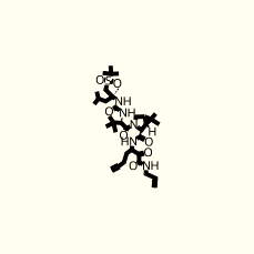 C#CCCC(NC(=O)[C@@H]1[C@@H]2C(CN1C(=O)[C@@H](NC(=O)N[C@@](C)(CC(C)C)CS(=O)(=O)C(C)(C)C)C(C)(C)C)C2(C)C)C(=O)C(=O)NCC=C